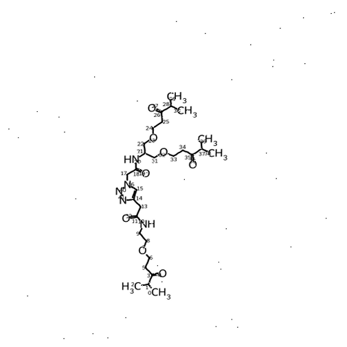 CC(C)C(=O)CCOCCNC(=O)Cc1cn(CC(=O)NC(COCCC(=O)C(C)C)COCCC(=O)C(C)C)nn1